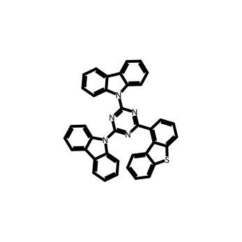 c1ccc2c(c1)sc1cccc(-c3nc(-n4c5ccccc5c5ccccc54)nc(-n4c5ccccc5c5ccccc54)n3)c12